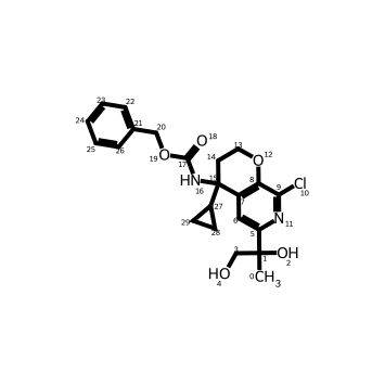 CC(O)(CO)c1cc2c(c(Cl)n1)OCCC2(NC(=O)OCc1ccccc1)C1CC1